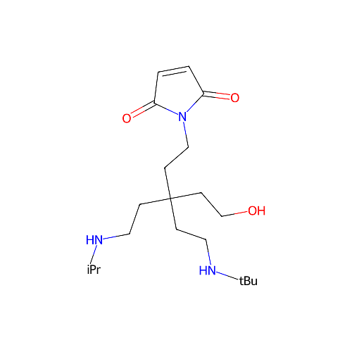 CC(C)NCCC(CCO)(CCNC(C)(C)C)CCN1C(=O)C=CC1=O